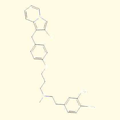 COc1ccc(CCN(C)CCCOc2ccc(Cc3c(C(C)C)cn4ccccc34)cc2)cc1OC